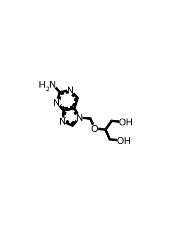 Nc1ncc2c(ncn2COC(CO)CO)n1